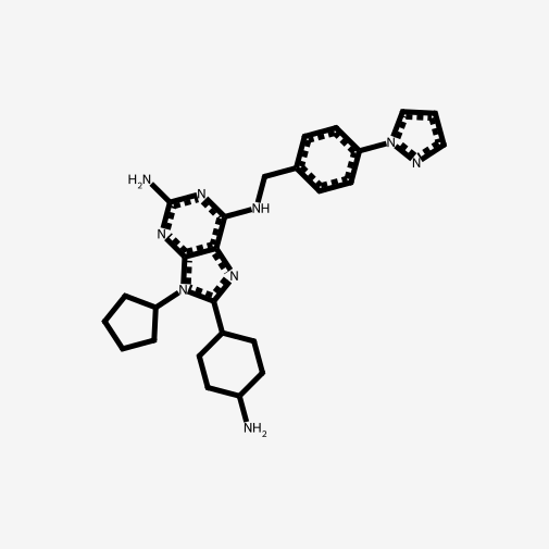 Nc1nc(NCc2ccc(-n3cccn3)cc2)c2nc(C3CCC(N)CC3)n(C3CCCC3)c2n1